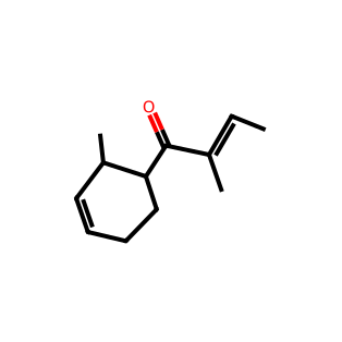 C/C=C(\C)C(=O)C1CCC=CC1C